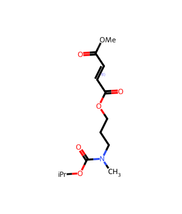 COC(=O)/C=C/C(=O)OCCCN(C)C(=O)OC(C)C